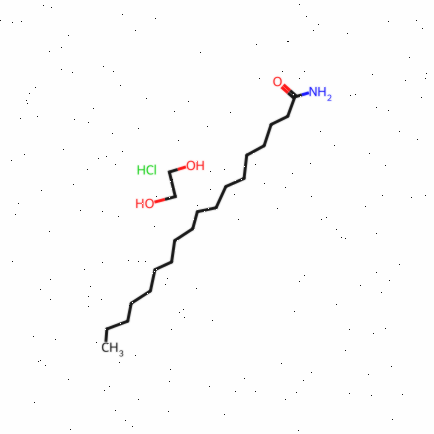 CCCCCCCCCCCCCCCCCC(N)=O.Cl.OCCO